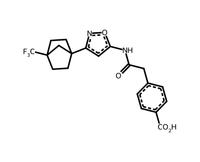 O=C(Cc1ccc(C(=O)O)cc1)Nc1cc(C23CCC(C(F)(F)F)(CC2)C3)no1